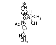 C#C[C@@H]1[C@@H](C)C[C@@H](C(=O)Nc2nc(Br)ccc2C)N1C(=O)Cn1nc(C(C)=O)c2cc(-c3cnc(C)nc3)ccc21